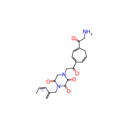 C=C(/C=C\C)CN1C(=O)CN(CC(=O)C2=CC=C(C(=O)CN)CC=C2)C(=O)C1=O